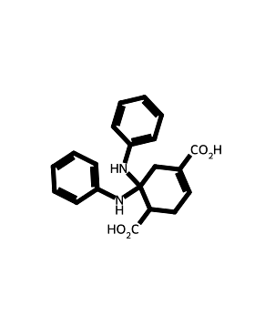 O=C(O)C1=CCC(C(=O)O)C(Nc2ccccc2)(Nc2ccccc2)C1